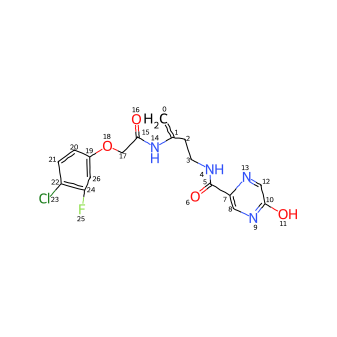 C=C(CCNC(=O)c1cnc(O)cn1)NC(=O)COc1ccc(Cl)c(F)c1